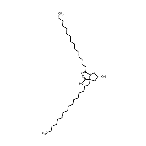 CCCCCCCCCCCCCCCC[C@@]1(C(=O)O)C[C@@H](O)CN1C(=O)CCCCCCCCCCCCCCC